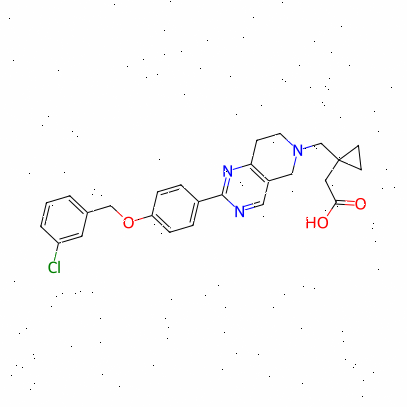 O=C(O)CC1(CN2CCc3nc(-c4ccc(OCc5cccc(Cl)c5)cc4)ncc3C2)CC1